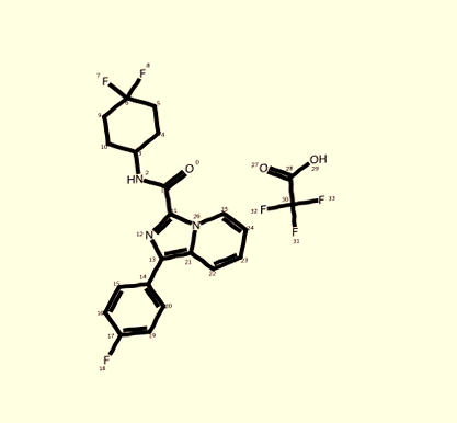 O=C(NC1CCC(F)(F)CC1)c1nc(-c2ccc(F)cc2)c2ccccn12.O=C(O)C(F)(F)F